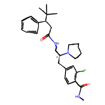 CNC(=O)c1ccc(C[C@@H](CNC(=O)CC(c2ccccc2)C(C)(C)C)N2CCCC2)cc1F